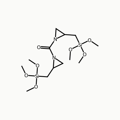 CO[Si](CC1CN1C(=O)N1CC1C[Si](OC)(OC)OC)(OC)OC